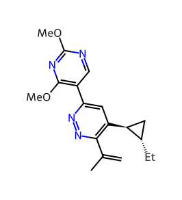 C=C(C)c1nnc(-c2cnc(OC)nc2OC)cc1[C@H]1C[C@@H]1CC